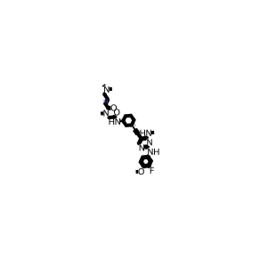 CNc1nc(Nc2ccc(OC)c(F)c2)ncc1C#C[C@@H]1CCC[C@H](NC(=O)CN(C)C(=O)/C=C/CN(C)C)C1